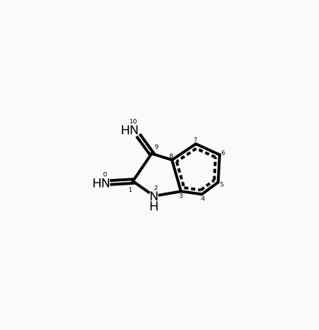 N=C1Nc2ccccc2C1=N